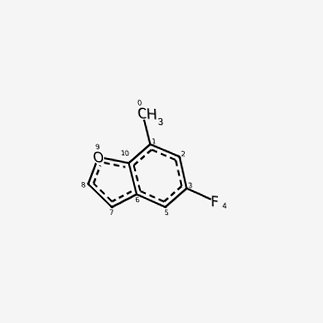 Cc1cc(F)cc2ccoc12